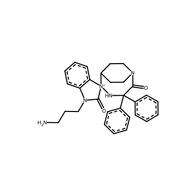 NCCCN1C(=O)[N+]2(NC(c3ccccc3)(c3ccccc3)C(=O)N3CCC2CC3)c2ccccc21